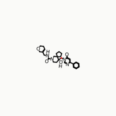 O=C(NCC1=CCCOC1)N1CCC(O)(Cn2cnc(-c3ccccc3)cc2=O)C2(CCCC2)C1